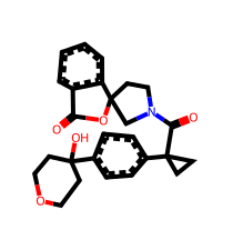 O=C1OC2(CCN(C(=O)C3(c4ccc(C5(O)CCOCC5)cc4)CC3)C2)c2ccccc21